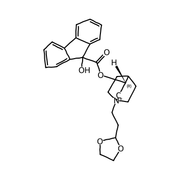 O=C(O[C@H]1C[N+]2(CCC3OCCO3)CCC1CC2)C1(O)c2ccccc2-c2ccccc21